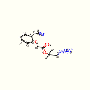 CC(C)(CN=[N+]=[N-])OC(=O)COc1ccccc1CC#N